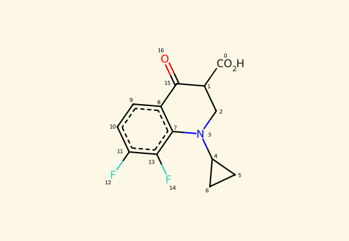 O=C(O)C1CN(C2CC2)c2c(ccc(F)c2F)C1=O